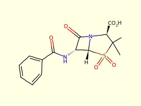 CC1(C)[C@H](C(=O)O)N2C(=O)[C@@H](NC(=O)c3ccccc3)[C@H]2S1(=O)=O